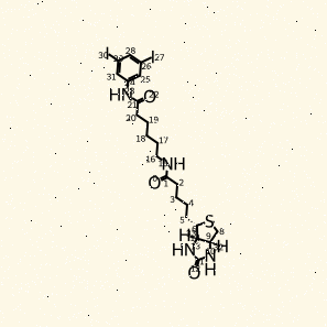 O=C(CCCC[C@@H]1SC[C@@H]2NC(=O)N[C@@H]21)NCCCCCC(=O)Nc1cc(I)cc(I)c1